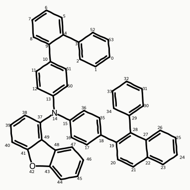 c1ccc(-c2ccccc2-c2ccc(N(c3ccc(-c4ccc5ccccc5c4-c4ccccc4)cc3)c3cccc4oc5ccccc5c34)cc2)cc1